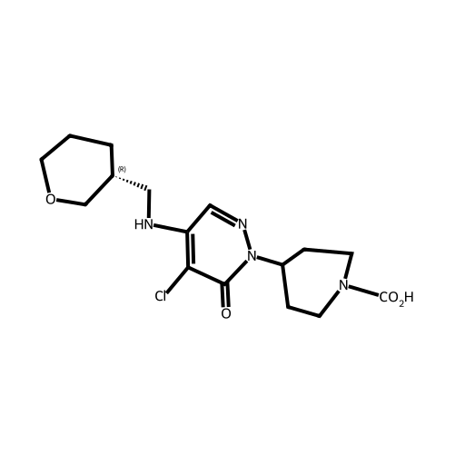 O=C(O)N1CCC(n2ncc(NC[C@H]3CCCOC3)c(Cl)c2=O)CC1